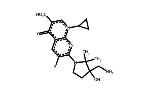 CC1(C)N(c2nc3c(cc2F)c(=O)c(C(=O)O)cn3C2CC2)CCC1(O)CN